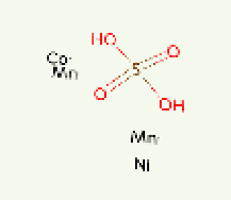 O=S(=O)(O)O.[Co].[Mn].[Mn].[Ni]